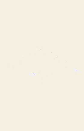 CC(O)CN.CCCCCCCC/C=C\CCCCCCCCN